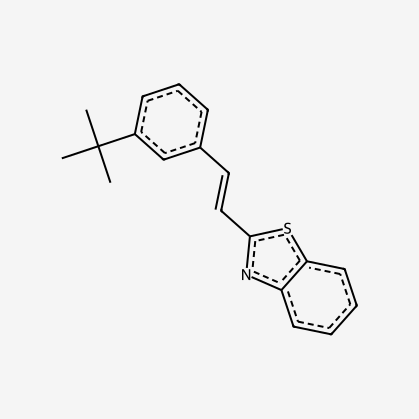 CC(C)(C)c1cccc(/C=C/c2nc3ccccc3s2)c1